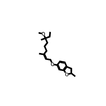 CCC(C)(CCCC(C)=CCOc1ccc2c(c1)OC(C)C2)OC